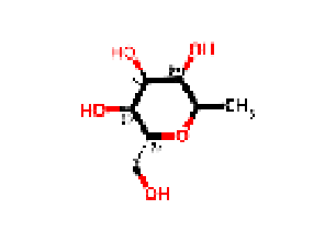 CC1O[C@H](CO)[C@@H](O)[C@@H](O)[C@H]1O